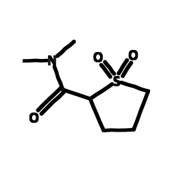 CN(C)C(=O)C1CCCS1(=O)=O